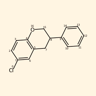 Clc1ccc2c(c1)CC(c1ccccc1)CO2